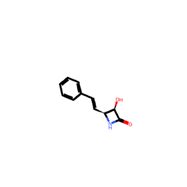 O=C1N[C@@H](C=Cc2ccccc2)[C@H]1O